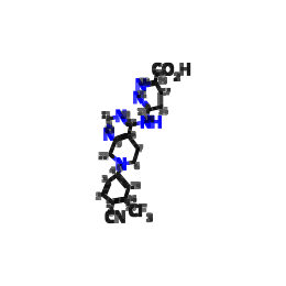 N#Cc1ccc(N2CCc3c(ncnc3Nc3ccc(C(=O)O)nn3)C2)cc1C(F)(F)F